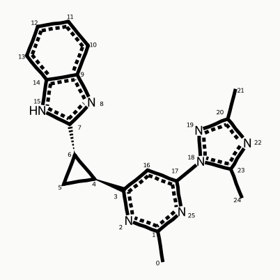 Cc1nc([C@H]2C[C@@H]2c2nc3ccccc3[nH]2)cc(-n2nc(C)nc2C)n1